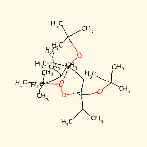 CC(C)[Si](C[Si](OC(C)(C)C)(OC(C)(C)C)C(C)C)(OC(C)(C)C)OC(C)(C)C